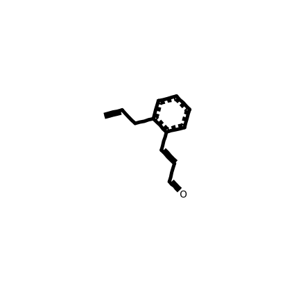 C=CCc1ccccc1/C=C/C=O